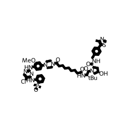 COc1cc(N2CCN(C(=O)CCCCCCCC(=O)N[C@H](C(=O)N3C[C@H](O)C[C@H]3C(=O)NCc3ccc(-c4scnc4C)cc3)C(C)(C)C)CC2)ccc1Nc1ncc(Cl)c(Nc2ccccc2P(C)(C)=O)n1